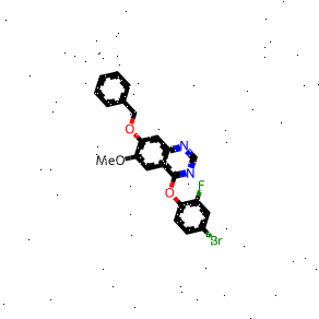 COc1cc2c(Oc3ccc(Br)cc3F)ncnc2cc1OCc1ccccc1